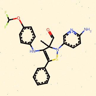 CC1(C=O)C(Nc2ccc(OC(F)F)cc2)=C(c2ccccc2)SN1c1ccc(N)nc1